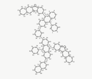 c1ccc(-c2c3ccccc3c(-c3ccc4oc5cc6ccccc6cc5c4c3)c3ccc(-c4cccc(-c5ccc6c(-c7ccc8oc9cc%10ccccc%10cc9c8c7)c7ccc(-c8ccc9ccccc9c8)cc7c(-c7ccccc7)c6c5)c4)cc23)cc1